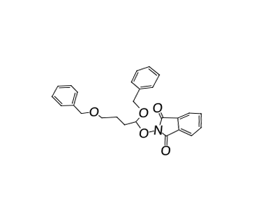 O=C1c2ccccc2C(=O)N1OC(CCCOCc1ccccc1)OCc1ccccc1